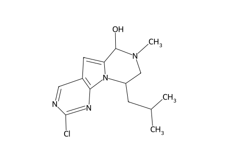 CC(C)CC1CN(C)C(O)c2cc3cnc(Cl)nc3n21